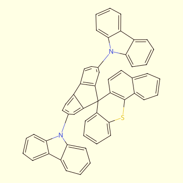 c1ccc2c(c1)Sc1c(ccc3ccccc13)C21c2cc(-n3c4ccccc4c4ccccc43)ccc2-c2ccc(-n3c4ccccc4c4ccccc43)cc21